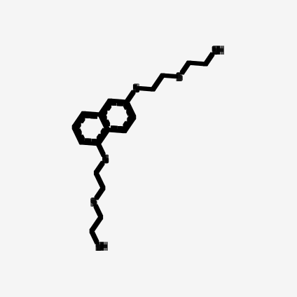 SCCSCCSc1ccc2c(SCCSCCS)cccc2c1